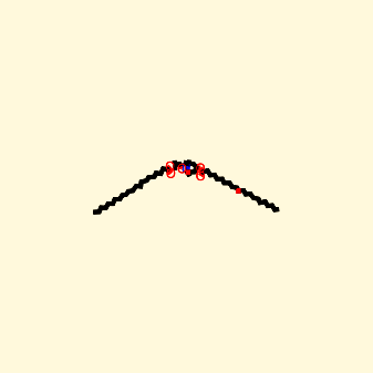 CCCCCCCCCCCCCCCCCCCCCC(=O)OC1CC(C)(C)N(OCC(C)(C)OC(=O)CCCCCCCCCCCCCCCCCCCCC)C(C)(C)C1